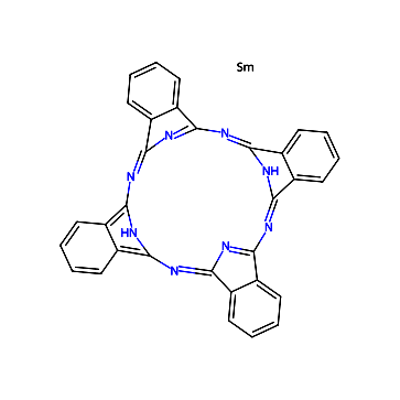 [Sm].c1ccc2c(c1)-c1nc-2nc2[nH]c(nc3nc(nc4[nH]c(n1)c1ccccc41)-c1ccccc1-3)c1ccccc21